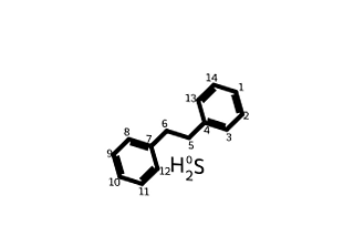 S.c1ccc(CCc2ccccc2)cc1